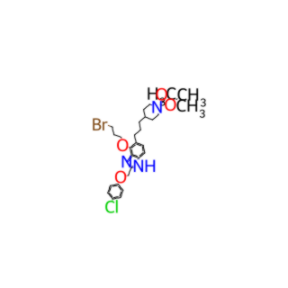 CC(C)(C)OC(=O)N1CCC(CCCc2ccc3[nH]c(COc4ccc(Cl)cc4)nc3c2OCCCBr)CC1